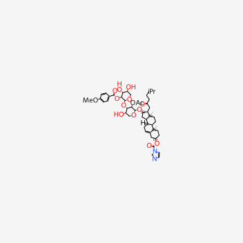 COc1ccc(C(=O)OC2C(OC3C(O)COC(O[C@H]4CC5[C@@H]6CC=C7C[C@@H](OC(=O)n8ccnc8)CC[C@]7(C)C6CC[C@]5(C)C4CC(=O)CCC(C)C)C3OC(C)=O)OCC(O)C2O)cc1